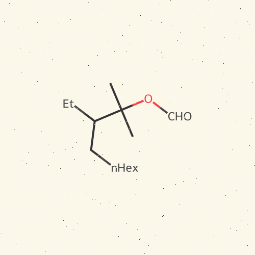 CCCCCCCC(CC)C(C)(C)OC=O